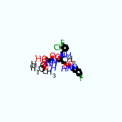 CC(C)(C)OC(=O)N[C@@H](CO)C(=O)NCCC(C)(CCOC(=O)Nc1cc2cc(F)ccc2cn1)C(=O)NCc1cccc(F)c1Cl